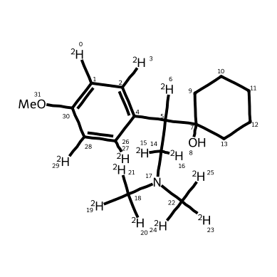 [2H]c1c([2H])c(C([2H])(C2(O)CCCCC2)C([2H])([2H])N(C([2H])([2H])[2H])C([2H])([2H])[2H])c([2H])c([2H])c1OC